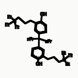 CCCC(CCC)(c1ccc(O)c(CCC[Si](CC)(CC)CC)c1)c1ccc(O)c(CCC[Si](CC)(CC)CC)c1